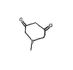 CB1CC(=O)CC(=O)C1